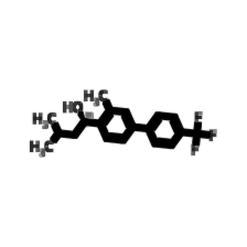 Cc1cc(-c2ccc(C(F)(F)F)cc2)ccc1[C@H](O)CC(C)C